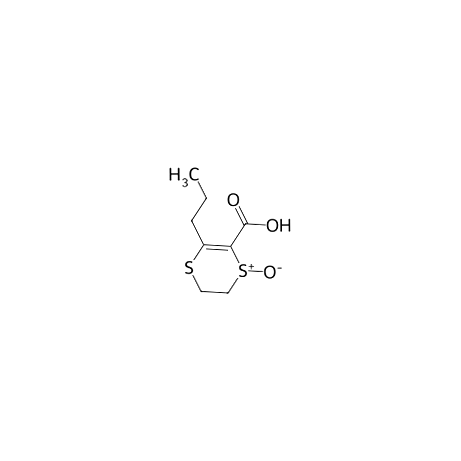 CCCC1=C(C(=O)O)[S+]([O-])CCS1